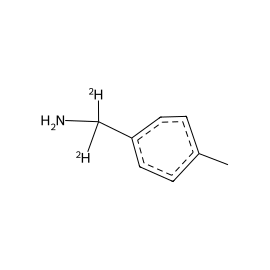 [2H]C([2H])(N)c1ccc(C)cc1